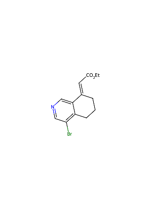 CCOC(=O)/C=C1\CCCc2c(Br)cncc21